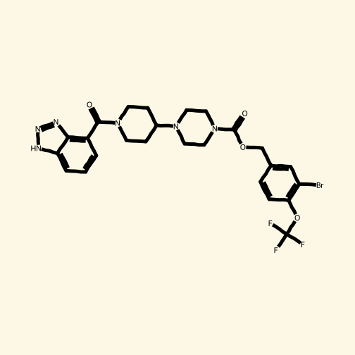 O=C(OCc1ccc(OC(F)(F)F)c(Br)c1)N1CCN(C2CCN(C(=O)c3cccc4[nH]nnc34)CC2)CC1